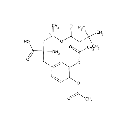 CC(=O)Oc1ccc(CC(N)(C[C@H](C)OC(=O)CC(C)(C)C)C(=O)O)cc1OC(C)=O